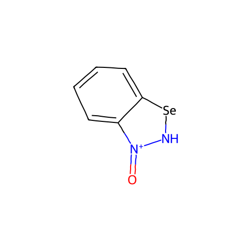 O=[n+]1[nH][se]c2ccccc21